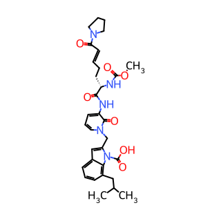 COC(=O)N[C@@H](CC/C=C/C(=O)N1CCCC1)C(=O)Nc1cccn(Cc2cc3cccc(CC(C)C)c3n2C(=O)O)c1=O